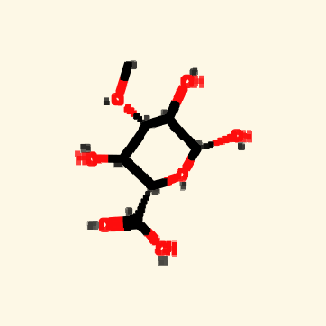 CO[C@@H]1C(O)[C@H](O)O[C@H](C(=O)O)C1O